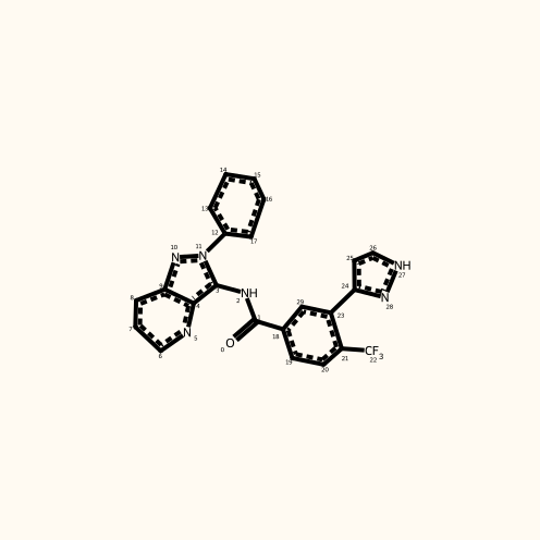 O=C(Nc1c2ncccc2nn1-c1ccccc1)c1ccc(C(F)(F)F)c(-c2cc[nH]n2)c1